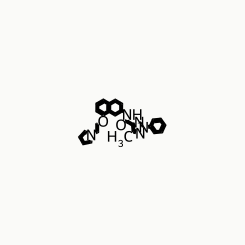 Cc1nn(-c2ccccc2)nc1C(=O)N[C@@H]1CCc2cccc(OCCN3CCCC3)c2C1